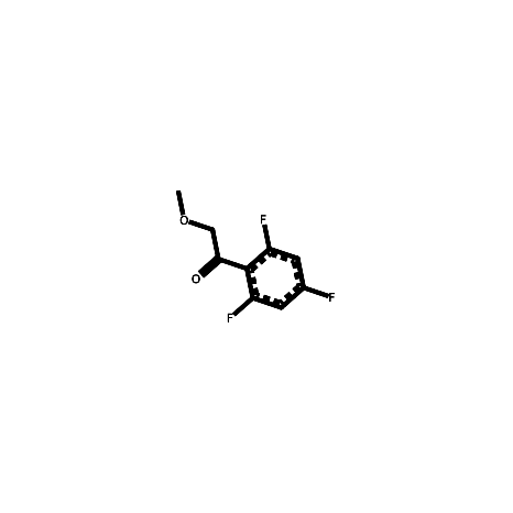 COCC(=O)c1c(F)cc(F)cc1F